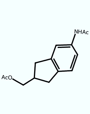 CC(=O)Nc1ccc2c(c1)CC(COC(C)=O)C2